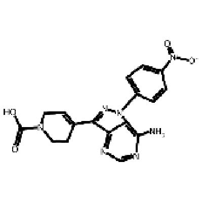 Nc1ncnc2c(C3=CCN(C(=O)O)CC3)nn(-c3ccc([N+](=O)[O-])cc3)c12